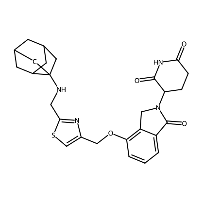 O=C1CCC(N2Cc3c(OCc4csc(CNC56CC7CC(CC5C7)C6)n4)cccc3C2=O)C(=O)N1